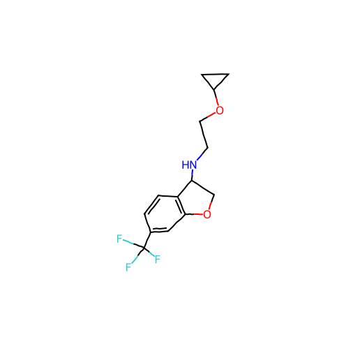 FC(F)(F)c1ccc2c(c1)OCC2NCCOC1CC1